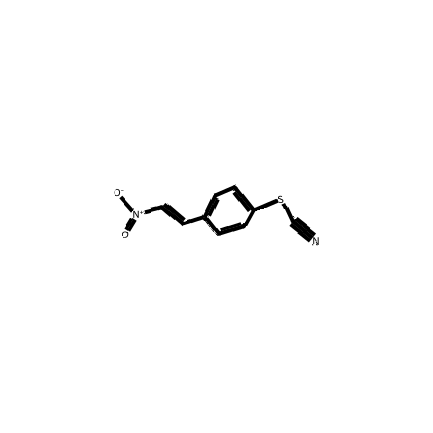 N#CSc1ccc(C=C[N+](=O)[O-])cc1